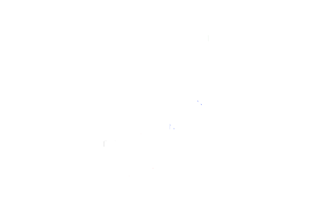 O=S(=O)(ONc1ccc(Cl)cn1)C(F)(F)F